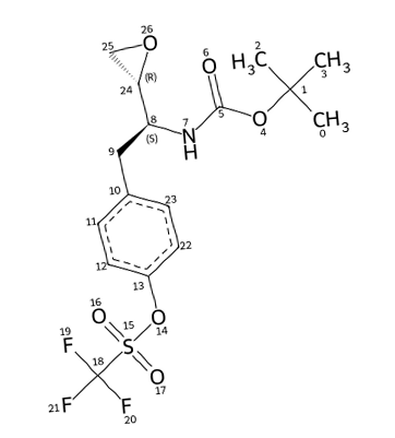 CC(C)(C)OC(=O)N[C@@H](Cc1ccc(OS(=O)(=O)C(F)(F)F)cc1)[C@@H]1CO1